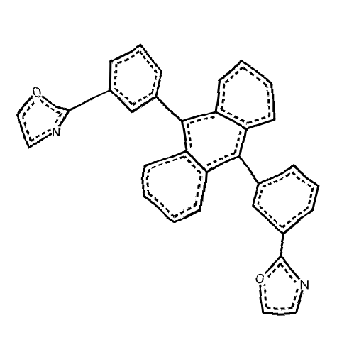 c1cc(-c2ncco2)cc(-c2c3ccccc3c(-c3cccc(-c4ncco4)c3)c3ccccc23)c1